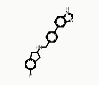 Fc1ccc2c(c1)CC(NCc1ccc(-c3ccc4[nH]cnc4c3)cc1)C2